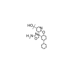 CC(C)(O)c1cnc2c(c1)[C@]1(COC(N)=N1)c1cc(-c3ccccc3)ccc1O2